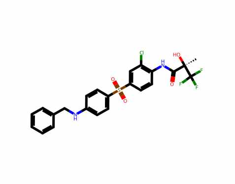 C[C@@](O)(C(=O)Nc1ccc(S(=O)(=O)c2ccc(NCc3ccccc3)cc2)cc1Cl)C(F)(F)F